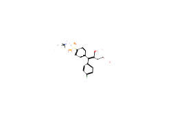 CC(C)(C)NS(=O)(=O)c1ccc(C(=C(CCO)C(=O)O)c2ccc(Cl)cc2)cc1